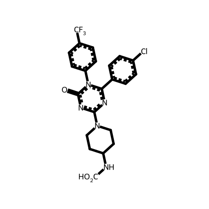 O=C(O)NC1CCN(c2nc(-c3ccc(Cl)cc3)n(-c3ccc(C(F)(F)F)cc3)c(=O)n2)CC1